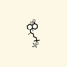 C[C@H](CCCC(C)(C)O[Si](C)(C)C)[C@H]1CCC[C@H]2C(=O)CCC[C@]12C